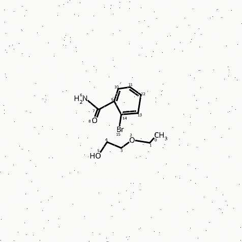 CCOCCO.NC(=O)c1ccccc1Br